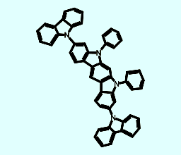 c1ccc(-n2c3cc(-n4c5ccccc5c5ccccc54)ccc3c3cc4c5ccc(-n6c7ccccc7c7ccccc76)cc5n(-c5ccccc5)c4cc32)cc1